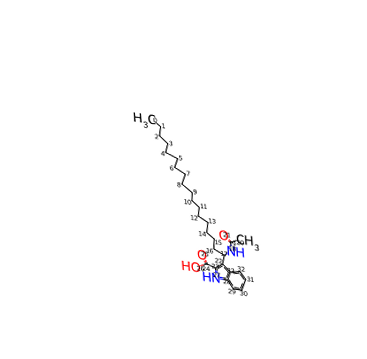 CCCCCCCCCCCCCCCCCC(NC(C)=O)c1c(C(=O)O)[nH]c2ccccc12